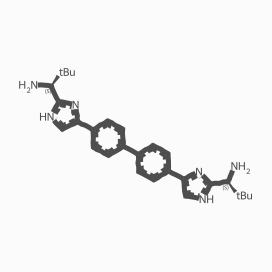 CC(C)(C)[C@H](N)c1nc(-c2ccc(-c3ccc(-c4c[nH]c([C@@H](N)C(C)(C)C)n4)cc3)cc2)c[nH]1